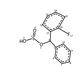 O=S(O)OC(c1ccccc1)c1ccccc1F